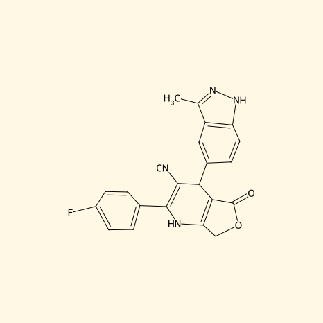 [C-]#[N+]C1=C(c2ccc(F)cc2)NC2=C(C(=O)OC2)C1c1ccc2[nH]nc(C)c2c1